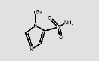 CCCCn1cncc1S(N)(=O)=O